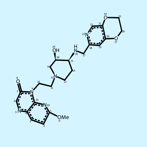 COc1ccc2ncc(=O)n(CCN3CC[C@H](NCc4cc5c(cn4)OCCO5)[C@H](O)C3)c2n1